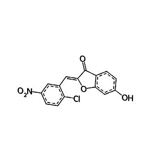 O=C1/C(=C/c2cc([N+](=O)[O-])ccc2Cl)Oc2cc(O)ccc21